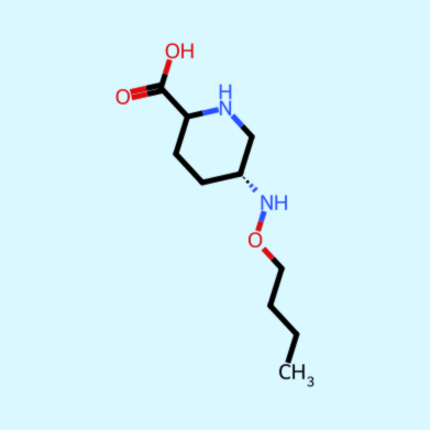 CCCCON[C@@H]1CCC(C(=O)O)NC1